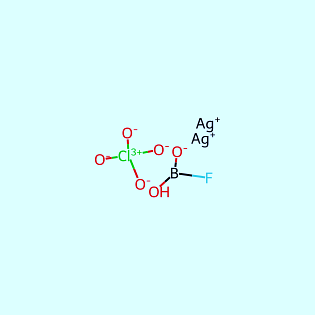 [Ag+].[Ag+].[O-]B(O)F.[O-][Cl+3]([O-])([O-])[O-]